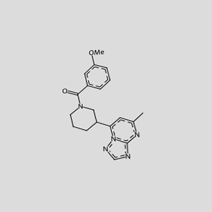 COc1cccc(C(=O)N2CCCC(c3cc(C)nc4ncnn34)C2)c1